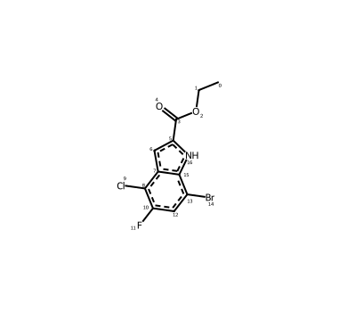 CCOC(=O)c1cc2c(Cl)c(F)cc(Br)c2[nH]1